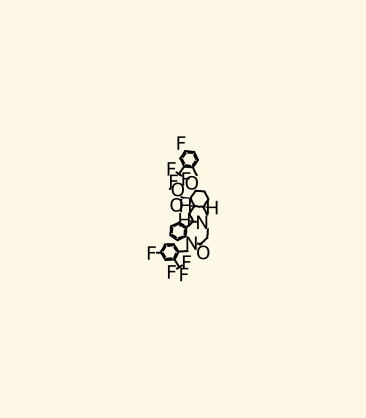 COC(=O)[C@@H]1[C@H]2C[C@H]3c4ccccc4N(Cc4ccc(F)cc4C(F)(F)F)C(=O)CCN3C[C@@H]2CC[C@@H]1OCc1ccc(F)cc1C(F)(F)F